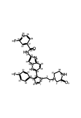 O=C1CN(CCn2cnc(-c3ccc(F)cc3)c2-c2ccc3nc(NC(=O)c4ccnc(F)c4)cn3n2)CCN1